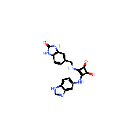 O=c1[nH]c2ccc(CNc3c(Nc4ccc5[nH]cnc5c4)c(=O)c3=O)cc2[nH]1